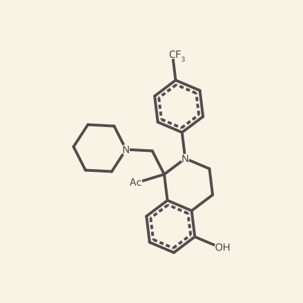 CC(=O)C1(CN2CCCCC2)c2cccc(O)c2CCN1c1ccc(C(F)(F)F)cc1